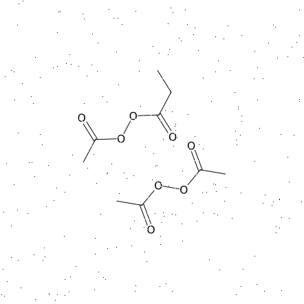 CC(=O)OOC(C)=O.CCC(=O)OOC(C)=O